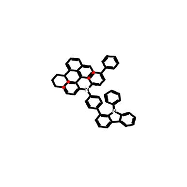 c1ccc(-c2ccc(N(c3ccc(-c4cccc5c6ccccc6n(-c6ccccc6)c45)cc3)c3ccccc3-c3cccc4cccc(C5CCCCC5)c34)cc2)cc1